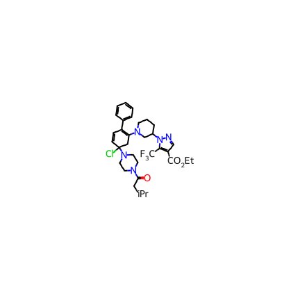 CCOC(=O)c1cnn(C2CCCN(C3=C(c4ccccc4)C=CC(Cl)(N4CCN(C(=O)CC(C)C)CC4)C3)C2)c1C(F)(F)F